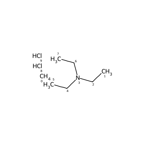 C.CCN(CC)CC.Cl.Cl